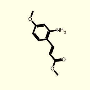 COC(=O)C=Cc1ccc(OC)cc1N